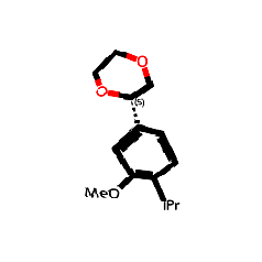 COc1cc([C@H]2COCCO2)ccc1C(C)C